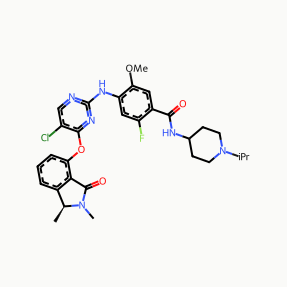 COc1cc(C(=O)NC2CCN(C(C)C)CC2)c(F)cc1Nc1ncc(Cl)c(Oc2cccc3c2C(=O)N(C)[C@H]3C)n1